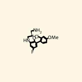 COc1ccc(-c2cc(F)cc3c2O[C@H](CN)CN3)c(Cl)c1